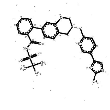 Cc1ncc(-c2ccc(C[C@H]3COc4cc(-c5ccccc5C(=O)NS(=O)(=O)C(C)(C)C)ccc4C3)nc2)s1